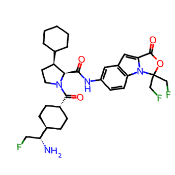 N[C@H](CF)[C@H]1CC[C@H](C(=O)N2CC[C@@H](C3CCCCC3)[C@H]2C(=O)Nc2ccc3c(c2)cc2n3C(CF)(CF)OC2=O)CC1